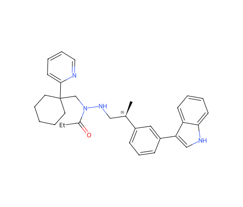 CCC(=O)N(CC1(c2ccccn2)CCCCC1)NC[C@@H](C)c1cccc(-c2c[nH]c3ccccc23)c1